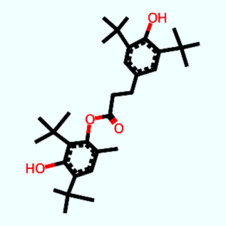 Cc1cc(C(C)(C)C)c(O)c(C(C)(C)C)c1OC(=O)CCc1cc(C(C)(C)C)c(O)c(C(C)(C)C)c1